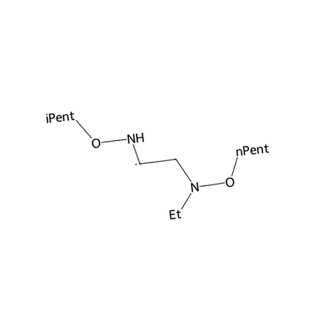 CCCCCON(CC)C[CH]NOC(C)CCC